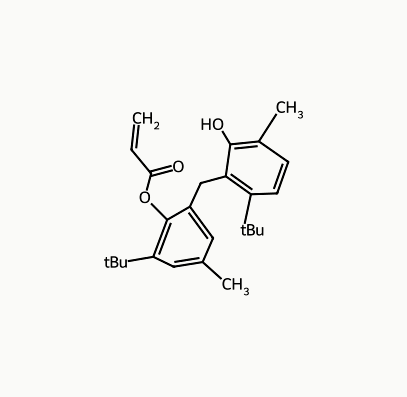 C=CC(=O)Oc1c(Cc2c(C(C)(C)C)ccc(C)c2O)cc(C)cc1C(C)(C)C